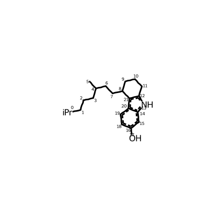 CC(C)CCCC(C)CCC1CCCc2[nH]c3cc(O)ccc3c21